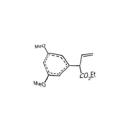 C=CC(C(=O)OCC)c1cc(OC)cc(OC)c1